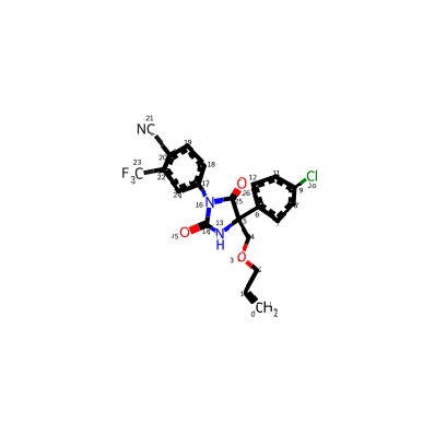 C=CCOCC1(c2ccc(Cl)cc2)NC(=O)N(c2ccc(C#N)c(C(F)(F)F)c2)C1=O